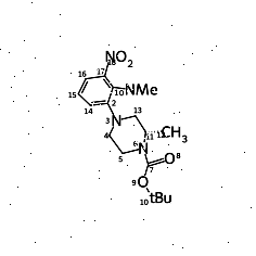 CNc1c(N2CCN(C(=O)OC(C)(C)C)[C@@H](C)C2)cccc1[N+](=O)[O-]